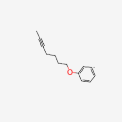 CC#CCCCCOc1c[c]ccc1